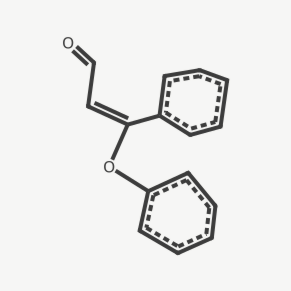 O=C/C=C(/Oc1ccccc1)c1ccccc1